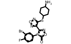 NC1CCC(Sc2nonc2-c2noc(=O)n2-c2ccc(F)c(Br)c2)CC1